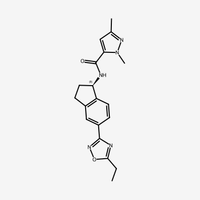 CCc1nc(-c2ccc3c(c2)CC[C@H]3NC(=O)c2cc(C)nn2C)no1